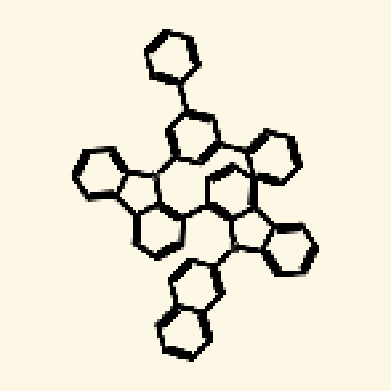 c1ccc(-c2cc(-c3ccccc3)cc(-n3c4ccccc4c4cccc(-c5cccc6c7ccccc7n(-c7ccc8ccccc8c7)c56)c43)c2)cc1